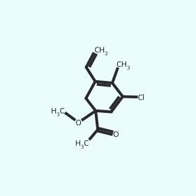 C=CC1=C(C)C(Cl)=CC(OC)(C(C)=O)C1